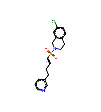 O=S(=O)(/C=C/CCc1cccnc1)N1CCc2ccc(Cl)cc2C1